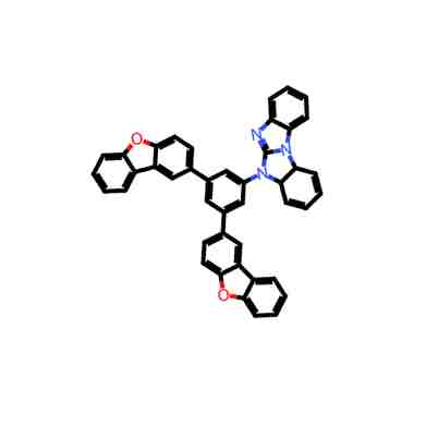 C1=CC2C(C=C1)n1c(nc3ccccc31)N2c1cc(-c2ccc3oc4ccccc4c3c2)cc(-c2ccc3oc4ccccc4c3c2)c1